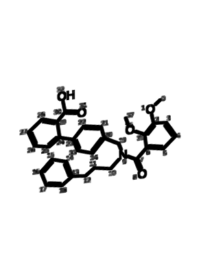 COc1cccc(C(=O)N(CCCc2ccccc2)Cc2ccc(-c3ccccc3C(=O)O)cc2)c1OC